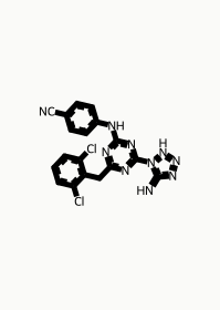 N#Cc1ccc(Nc2nc(Cc3c(Cl)cccc3Cl)nc(-n3[nH]nnc3=N)n2)cc1